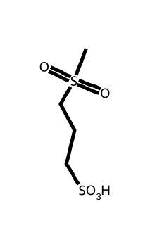 CS(=O)(=O)CCCS(=O)(=O)O